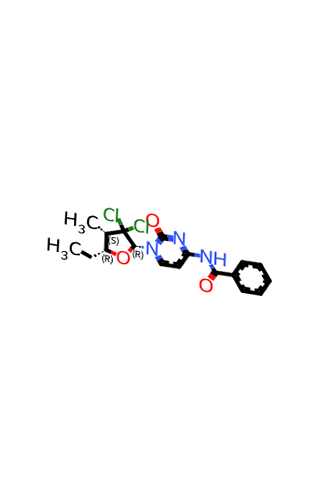 CC[C@H]1O[C@@H](n2ccc(NC(=O)c3ccccc3)nc2=O)C(Cl)(Cl)[C@H]1C